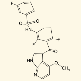 COc1ccnc2[nH]cc(C(=O)c3c(F)ccc(NS(=O)(=O)c4cccc(F)c4)c3F)c12